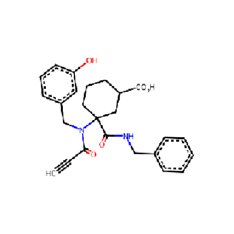 C#CC(=O)N(Cc1cccc(O)c1)C1(C(=O)NCc2ccccc2)CCCC(C(=O)O)C1